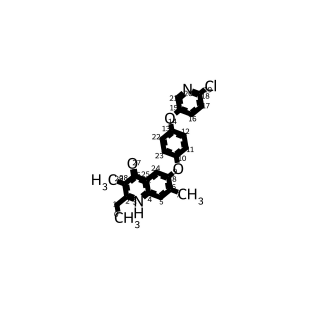 CCc1[nH]c2cc(C)c(Oc3ccc(Oc4ccc(Cl)nc4)cc3)cc2c(=O)c1C